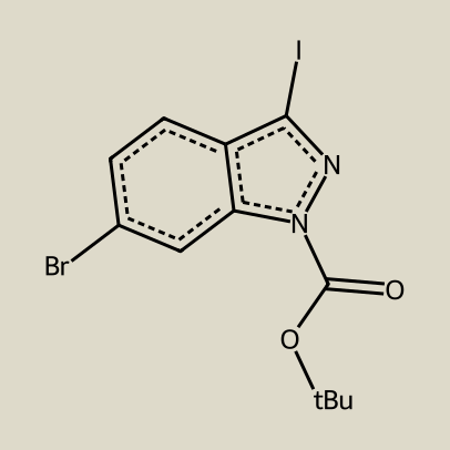 CC(C)(C)OC(=O)n1nc(I)c2ccc(Br)cc21